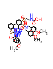 COc1ccc(CN(Cc2ccc(OC)cc2)S(=O)(=O)c2c(S(=O)(=O)CCNC(=O)O)ccc(-c3cccc4sc(NC(C)=O)nc34)c2-c2nnn(Cc3ccc(OC)cc3)n2)cc1